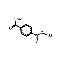 CCC(C)OB(O)c1ccc(C(=O)OC)cc1